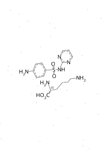 NCCCC[C@H](N)C(=O)O.Nc1ccc(S(=O)(=O)Nc2ncccn2)cc1